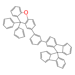 c1ccc(C2(c3ccccc3)c3ccccc3Oc3ccc(-c4cccc(-c5ccc6c(c5)C5(c7ccccc7-c7ccccc75)c5ccccc5-6)c4)cc32)cc1